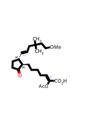 COCCC(C)(C)C/C=C/[C@H]1CCC(=O)[C@@H]1CCCC/C=C(\OC(C)=O)C(=O)O